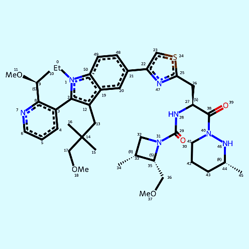 CCn1c(-c2cccnc2[C@H](C)OC)c(CC(C)(C)COC)c2cc(-c3csc(C[C@H](NC(=O)N4C[C@@H](C)[C@H]4COC)C(=O)N4CCC[C@@H](C)N4)n3)ccc21